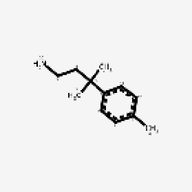 Cc1ccc(C(C)(C)CCN)cc1